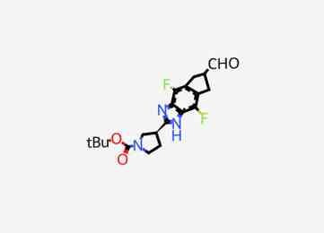 CC(C)(C)OC(=O)N1CC[C@H](c2nc3c(F)c4c(c(F)c3[nH]2)CC(C=O)C4)C1